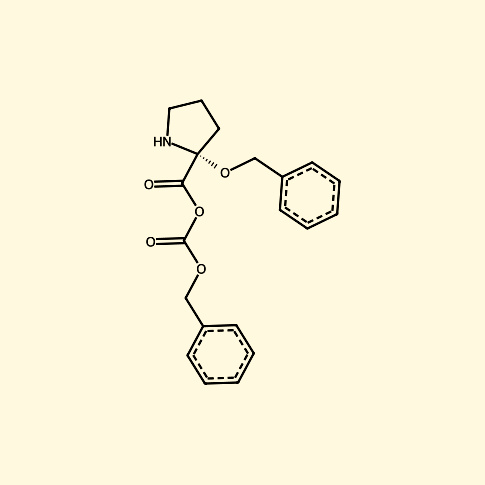 O=C(OCc1ccccc1)OC(=O)[C@]1(OCc2ccccc2)CCCN1